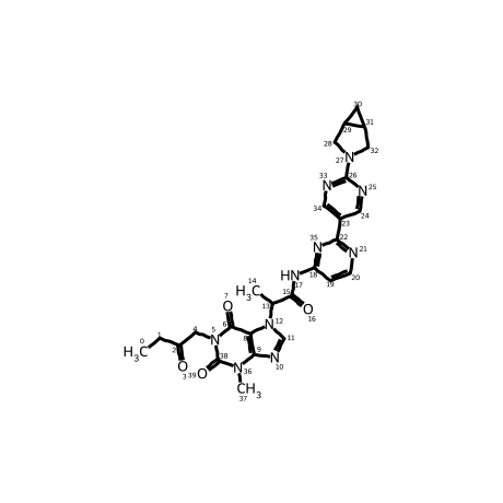 CCC(=O)Cn1c(=O)c2c(ncn2C(C)C(=O)Nc2ccnc(-c3cnc(N4CC5CC5C4)nc3)n2)n(C)c1=O